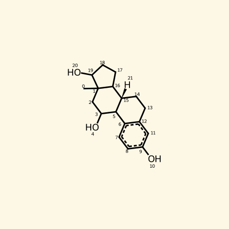 CC12CC(O)C3c4ccc(O)cc4CC[C@H]3C1CCC2O